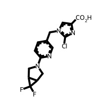 O=C(O)c1cn(Cc2ccc(N3CC4C(C3)C4(F)F)nc2)c(Cl)n1